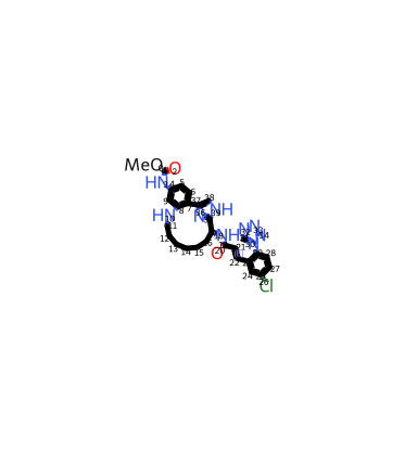 COC(=O)Nc1ccc2c(c1)NCCCCCCC(NC(=O)/C=C/c1cc(Cl)ccc1-n1cnnn1)c1nc-2c[nH]1